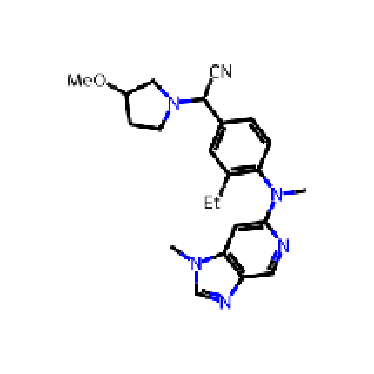 CCc1cc(C(C#N)N2CCC(OC)C2)ccc1N(C)c1cc2c(cn1)ncn2C